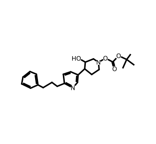 CC(C)(C)OC(=O)ON1CCC(c2ccc(CCCc3ccccc3)nc2)C(O)C1